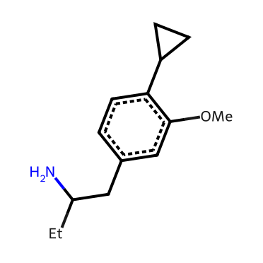 CCC(N)Cc1ccc(C2CC2)c(OC)c1